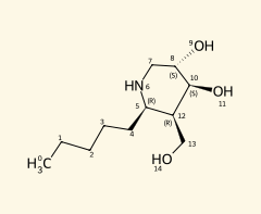 CCCCC[C@H]1NC[C@H](O)[C@@H](O)[C@H]1CO